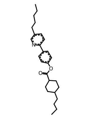 CCCCCc1ccc(-c2ccc(OC(=O)C3CCC(CCCC)CC3)cc2)nc1